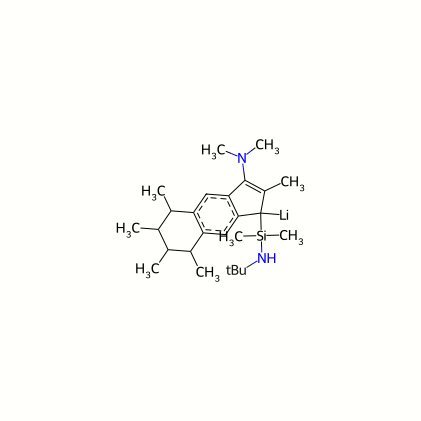 [Li][C]1([Si](C)(C)NC(C)(C)C)C(C)=C(N(C)C)c2cc3c(cc21)C(C)C(C)C(C)C3C